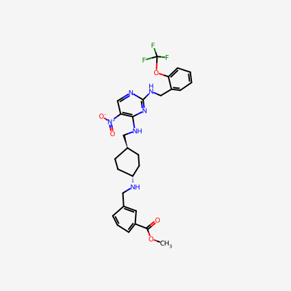 COC(=O)c1cccc(CN[C@H]2CC[C@H](CNc3nc(NCc4ccccc4OC(F)(F)F)ncc3[N+](=O)[O-])CC2)c1